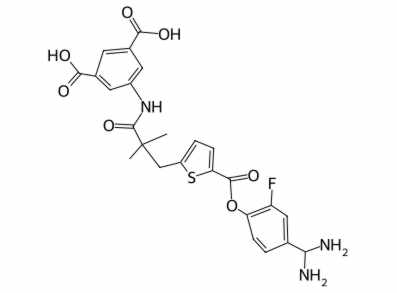 CC(C)(Cc1ccc(C(=O)Oc2ccc(C(N)N)cc2F)s1)C(=O)Nc1cc(C(=O)O)cc(C(=O)O)c1